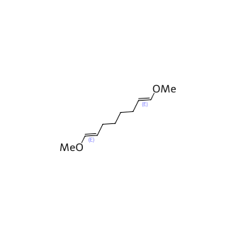 CO/C=C/CCCC/C=C/OC